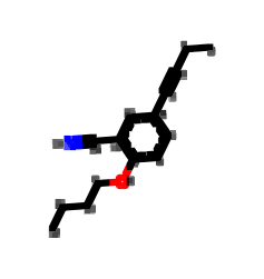 CCC#Cc1ccc(OCCCC)c(C#N)c1